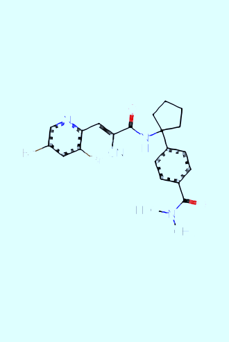 CN(C)C(=O)c1ccc(C2(NC(=O)/C(C#N)=C/c3ncc(Br)cc3Br)CCCC2)cc1